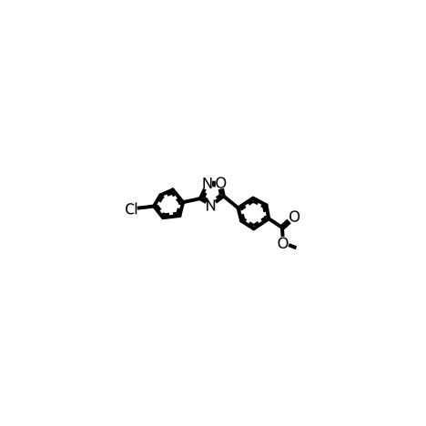 COC(=O)c1ccc(-c2nc(-c3ccc(Cl)cc3)no2)cc1